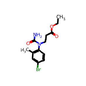 CCOC(=O)CCN(C(N)=O)c1ccc(Br)cc1C